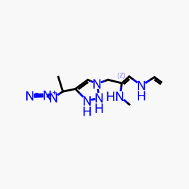 C=CN/C=C(/CN1C=C(C(C)N=[N+]=[N-])NN1)NC